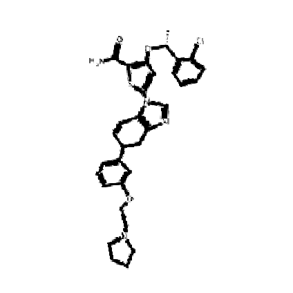 C[C@@H](Oc1cc(-n2cnc3c2C=CC(c2cccc(OCCN4CCCC4)c2)C3)sc1C(N)=O)c1ccccc1Cl